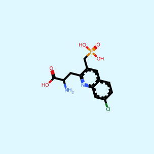 NC(Cc1nc2cc(Cl)ccc2cc1CP(=O)(O)O)C(=O)O